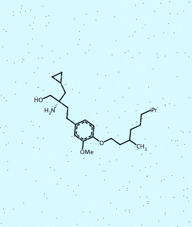 COc1cc(CC[C@@](N)(CO)CC2CC2)ccc1OCCC(C)CCCC(C)C